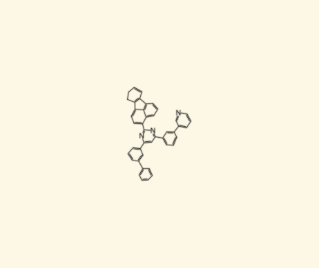 C1=CC2=C(CC1)c1ccc(-c3nc(-c4cccc(-c5ccccc5)c4)cc(-c4cccc(-c5cccnc5)c4)n3)c3cccc2c13